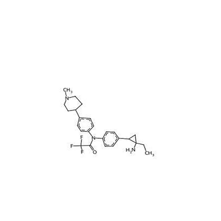 CCC1(N)CC1c1ccc(N(C(=O)C(F)(F)F)c2ccc(C3CCN(C)CC3)cc2)cc1